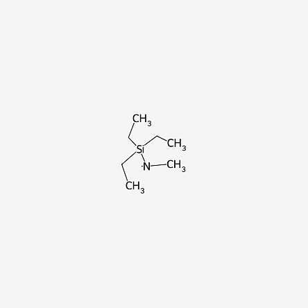 CC[Si](CC)(CC)[N]C